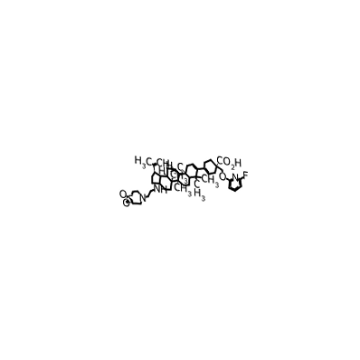 C=C(C)[C@@H]1CC[C@]2(NCCN3CCS(=O)(=O)CC3)CC[C@]3(C)[C@H](CCC4[C@@]5(C)CC=C(C6=CC[C@@](COc7cccc(F)n7)(C(=O)O)CC6)C(C)(C)C5CC[C@]43C)C12